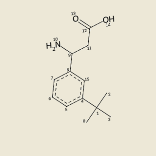 CC(C)(C)c1cccc(C(N)CC(=O)O)c1